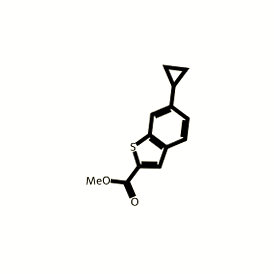 COC(=O)c1cc2ccc(C3CC3)cc2s1